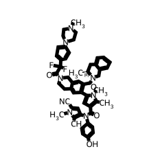 Cc1c(N(C(=O)c2cc(-c3cc4c(cc3C(=O)N3Cc5ccccc5C[C@H]3C)CN(C(=O)C(F)(F)c3ccc(N5CCN(C)CC5)cc3)CC4)n(C)c2C)c2ccc(O)cc2)cc(C#N)n1C